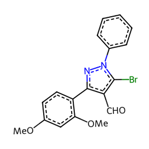 COc1ccc(-c2nn(-c3ccccc3)c(Br)c2C=O)c(OC)c1